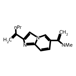 C=C(NC)c1ccc2nc(C(=C)CCC)cn2c1